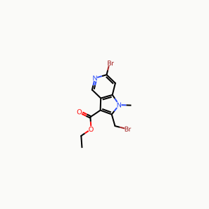 CCOC(=O)c1c(CBr)n(C)c2cc(Br)ncc12